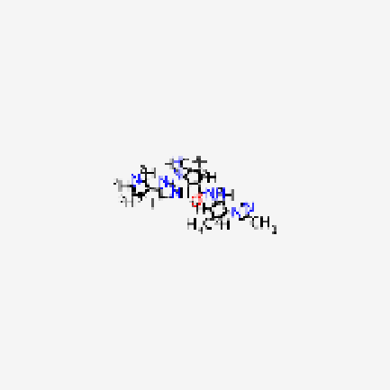 [2H]c1nc([2H])c(-c2ccnc(Nc3c([2H])c(C(=O)Nc4c([2H])c(C)c([2H])c(-n5cnc(C)c5)c4[2H])c([2H])c([2H])c3C)n2)c([2H])c1[2H]